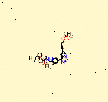 CC(=O)OCCC#Cc1cc2c(-c3ccc(CNC(=O)OC(C)(C)C)c(C)c3)ncnn2c1